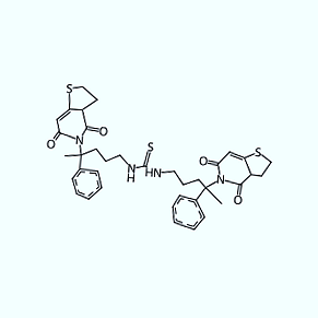 CC(CCCNC(=S)NCCCC(C)(c1ccccc1)N1C(=O)C=C2SCCC2C1=O)(c1ccccc1)N1C(=O)C=C2SCCC2C1=O